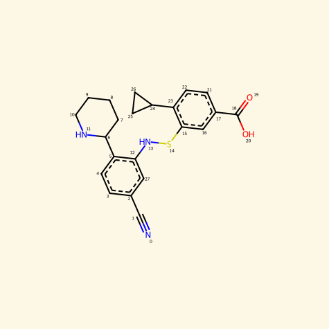 N#Cc1ccc(C2CCCCN2)c(NSc2cc(C(=O)O)ccc2C2CC2)c1